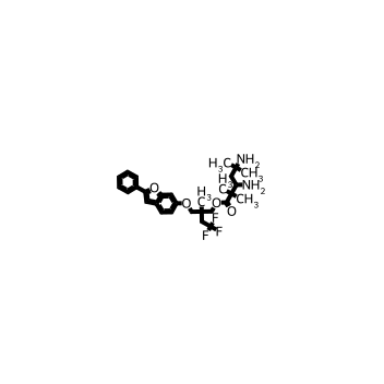 CC(C)(N)CC(N)C(C)(C)C(=O)OCC(C)(COc1ccc2cc(-c3ccccc3)oc2c1)CC(F)(F)F